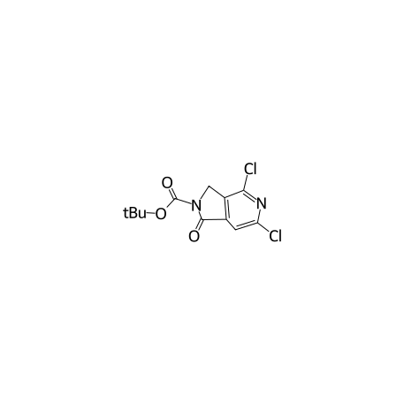 CC(C)(C)OC(=O)N1Cc2c(cc(Cl)nc2Cl)C1=O